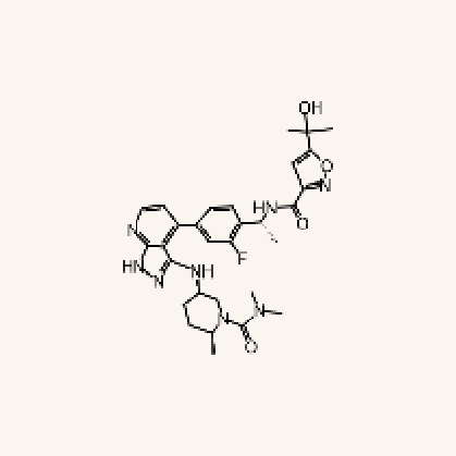 C[C@@H](NC(=O)c1cc(C(C)(C)O)on1)c1ccc(-c2ccnc3[nH]nc(N[C@@H]4CC[C@H](C)N(C(=O)N(C)C)C4)c23)cc1F